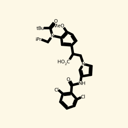 COc1ccc(C(Cn2ccc(NC(=O)c3c(Cl)cccc3Cl)c2)C(=O)O)cc1N(CC(C)C)C(=O)C(C)(C)C